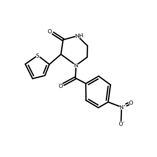 O=C1NCCN(C(=O)c2ccc([N+](=O)[O-])cc2)C1c1cccs1